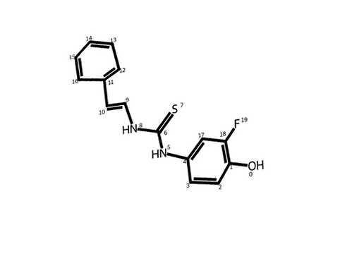 Oc1ccc(NC(=S)NC=Cc2ccccc2)cc1F